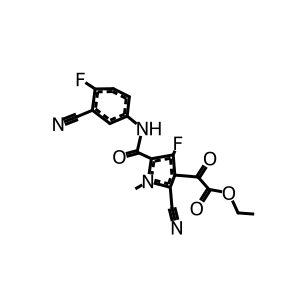 CCOC(=O)C(=O)c1c(F)c(C(=O)Nc2ccc(F)c(C#N)c2)n(C)c1C#N